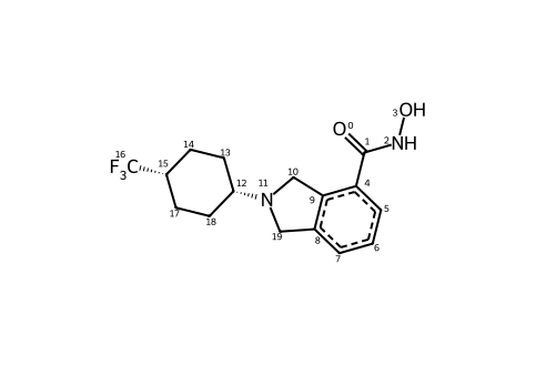 O=C(NO)c1cccc2c1CN([C@H]1CC[C@@H](C(F)(F)F)CC1)C2